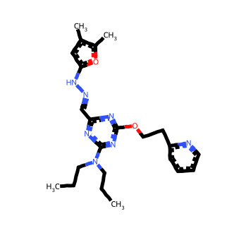 CCCN(CCC)c1nc(/C=N/Nc2cc(C)c(C)o2)nc(OCCc2ccccn2)n1